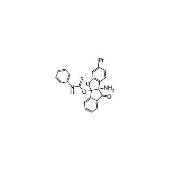 CC(C)c1ccc2c(c1)OC1(OC(=S)Nc3ccccc3)c3ccccc3C(=O)C21N